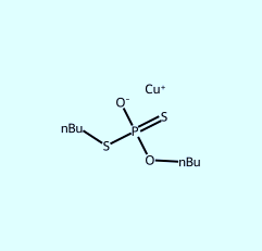 CCCCOP([O-])(=S)SCCCC.[Cu+]